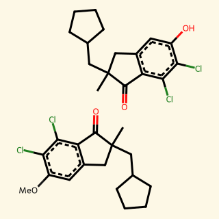 CC1(CC2CCCC2)Cc2cc(O)c(Cl)c(Cl)c2C1=O.COc1cc2c(c(Cl)c1Cl)C(=O)C(C)(CC1CCCC1)C2